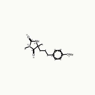 COc1ccc(CCCC2(C)NC(=O)N(C)C2=O)cc1